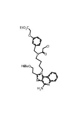 CCOC(=O)COc1cccc(CN(CCCCn2c(CCOC)nc3c(N)nc4ccccc4c32)C(=O)CCl)c1.Cl